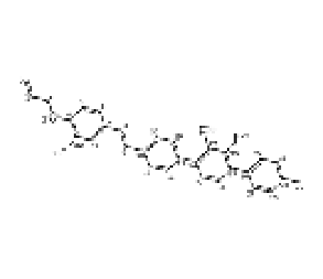 C=CCOc1ccc(/C=C/c2ccc(-c3ccc(-c4ccc(C)cc4)c(F)c3F)cc2)cc1F